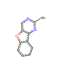 CC(C)(C)c1ncc2oc3ccccc3c2n1